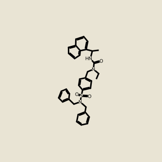 CCN(Cc1ccc(S(=O)(=O)N(Cc2ccccc2)Cc2ccccc2)cc1)C(=O)NC(C)c1cccc2ccccc12